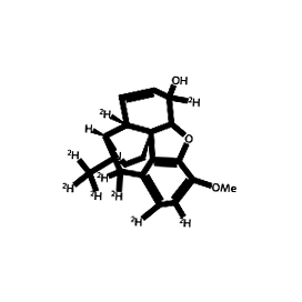 [2H]c1c([2H])c2c3c(c1OC)OC1C([2H])(O)C=C[C@@]4([2H])[C@H](N(C([2H])([2H])[2H])CC[C@]314)C2([2H])[2H]